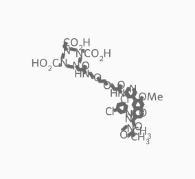 COc1cc2c(cc1-c1cncc(NC(=O)CCOCCOCCNC(=O)CN3CCN(CC(=O)O)CCN(CC(=O)O)CCN(CC(=O)O)CC3)c1)-c1c(c(C(=O)N3CCOCC3(C)C)nn1-c1cc(Cl)cc(Cl)c1)CO2